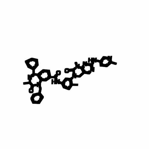 Cc1ccc(Nc2ncc3c(n2)N(C)C(=O)N(c2cc(NC(=O)c4ccc5c(c4)N(Cc4ccccc4)C(=O)C(C)N=C5c4ccccc4)ccc2C)C3)cn1